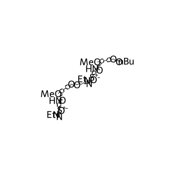 CCCCOCCOc1ccc(-c2ccc(OC)c(/C=C/C(=O)Nc3ccc([S@+]([O-])Cc4c(C)nc(CCCCOCCOc5ccc(-c6ccc(OC)c(/C=C/C(=O)Nc7ccc([S@@+]([O-])Cc8c(C)ncn8CC)cc7)c6)cc5)n4CC)cc3)c2)cc1